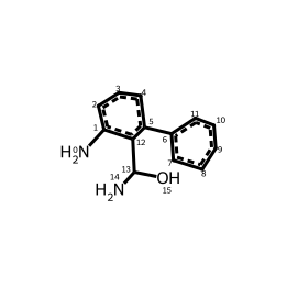 Nc1cccc(-c2ccccc2)c1C(N)O